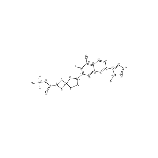 Cc1c(N2CCC3(CN(C(=O)OC(C)(C)C)C3)C2)nc2cc(-c3ccnn3C)ccc2c1Cl